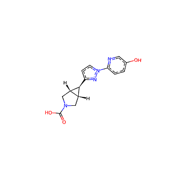 O=C(O)N1C[C@@H]2[C@H](C1)[C@H]2c1ccn(-c2ccc(O)cn2)n1